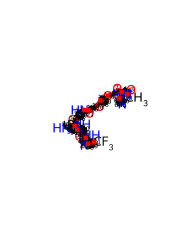 CN1C(=O)C[C@H](C(=O)NCCO[C@H]2CC[C@H](OCCCC(=O)N[C@H]3CC[C@H](C(=O)N[C@@H]4C[C@H](NC(C)(C)C)CC[C@@H]4N4CC[C@H](Nc5ncnc6ccc(C(F)(F)F)cc56)C4=O)CC3)CC2)[C@H]1c1cccnc1